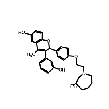 CC1=C(c2cccc(O)c2)C(c2ccc(OCCN3CCCC[C@@H](F)C3)cc2)Oc2ccc(O)cc21